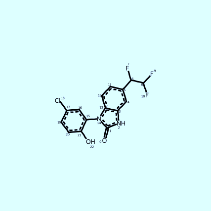 O=c1[nH]c2cc(C(F)C(F)F)ccc2n1-c1cc(Cl)ccc1O